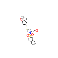 COc1ccc(CS[C@@H]2C[C@H](CC=O)N(S(=O)(=O)c3ccc4ccccc4c3)C2)cc1